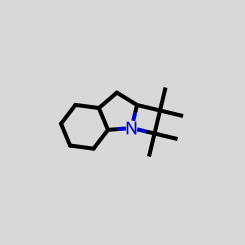 CC1(C)C2CC3CCCCC3N2C1(C)C